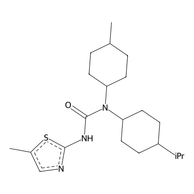 Cc1cnc(NC(=O)N(C2CCC(C)CC2)C2CCC(C(C)C)CC2)s1